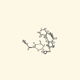 N#CC[C@H]1CC[C@H](n2c(CO)nc3cnc4ccccc4c32)CC1